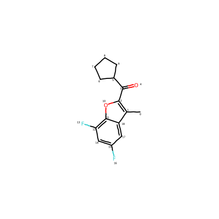 Cc1c(C(=O)C2CCCC2)oc2c(F)cc(F)cc12